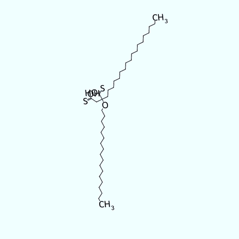 CCCCCCCCCCCCCCCCCCOC(CCCCCCCCCCCCCCCCCC)(CC(O)=S)C(O)=S